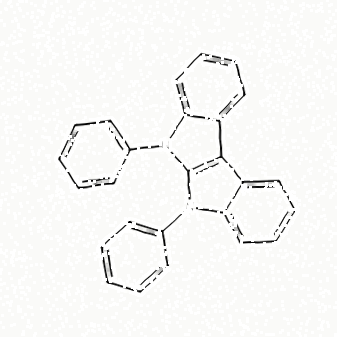 c1ccc(-n2c3ccccc3c3c4ccccc4n(-c4ccccc4)c32)cc1